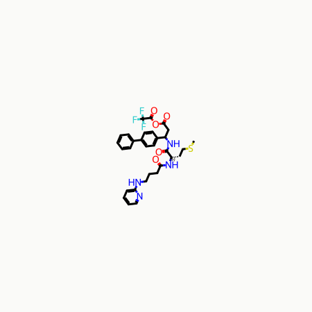 CSCC[C@H](NC(=O)CCCNc1ccccn1)C(=O)NC(CC(=O)OC(=O)C(F)(F)F)c1ccc(-c2ccccc2)cc1